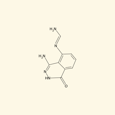 N/C=N/c1cccc2c(=O)[nH]nc(N)c12